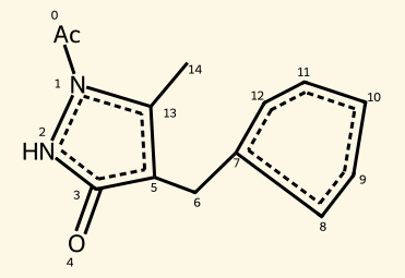 CC(=O)n1[nH]c(=O)c(Cc2ccccc2)c1C